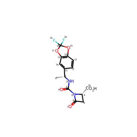 C[C@@H](NC(=O)N1C(=O)C[C@H]1C(=O)O)c1ccc2c(c1)OC(F)(F)O2